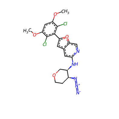 COc1cc(OC)c(Cl)c(-c2cc3cc(N[C@@H]4COCC[C@@H]4N=[N+]=[N-])ncc3o2)c1Cl